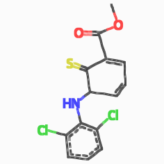 COC(=O)C1=CC=CC(Nc2c(Cl)cccc2Cl)C1=S